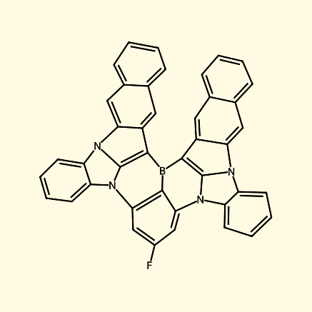 Fc1cc2c3c(c1)-n1c4ccccc4n4c5cc6ccccc6cc5c(c14)B3c1c3cc4ccccc4cc3n3c4ccccc4n-2c13